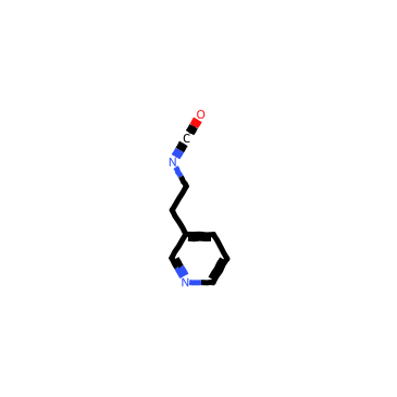 O=C=NCCc1cccnc1